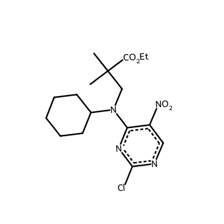 CCOC(=O)C(C)(C)CN(c1nc(Cl)ncc1[N+](=O)[O-])C1CCCCC1